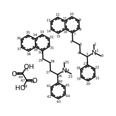 CN(C)C(CCCc1cccc2ccccc12)c1ccccc1.CN(C)C(CCCc1cccc2ccccc12)c1ccccc1.O=C(O)C(=O)O